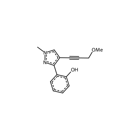 COCC#Cc1cn(C)nc1-c1ccccc1O